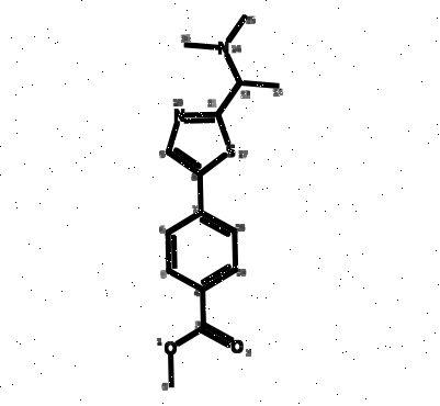 COC(=O)c1ccc(-c2cnc(C(C)N(C)C)s2)cc1